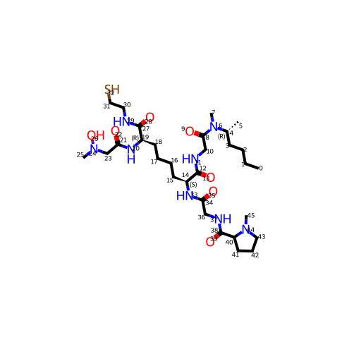 CCCC[C@@H](C)N(C)C(=O)CNC(=O)[C@H](CCCC[C@@H](NC(=O)CN(C)O)C(=O)NCCS)NC(=O)CNC(=O)C1CCCN1C